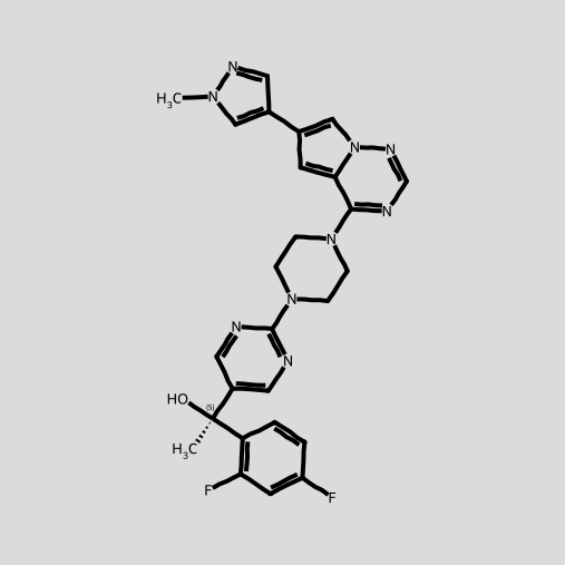 Cn1cc(-c2cc3c(N4CCN(c5ncc([C@](C)(O)c6ccc(F)cc6F)cn5)CC4)ncnn3c2)cn1